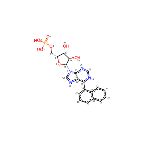 O=P(O)(O)OC[C@H]1O[C@@H](n2cnc3c(-c4cccc5ccccc45)ncnc32)[C@H](O)[C@H]1O